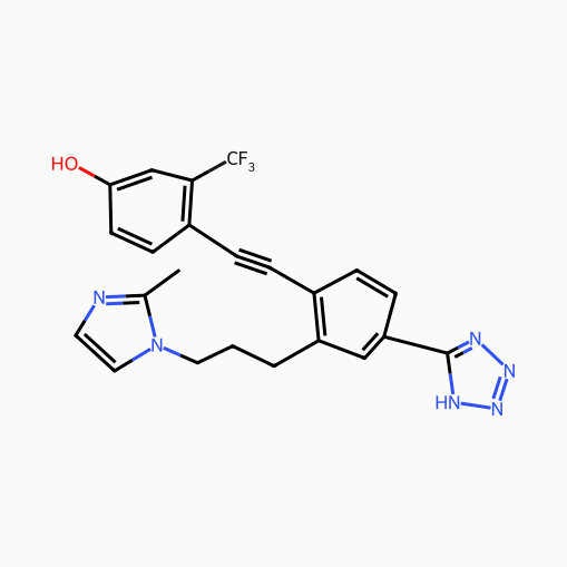 Cc1nccn1CCCc1cc(-c2nnn[nH]2)ccc1C#Cc1ccc(O)cc1C(F)(F)F